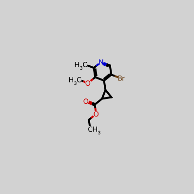 CCOC(=O)C1CC1c1c(Br)cnc(C)c1OC